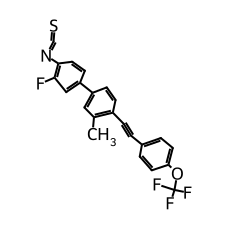 Cc1cc(-c2ccc(N=C=S)c(F)c2)ccc1C#Cc1ccc(OC(F)(F)F)cc1